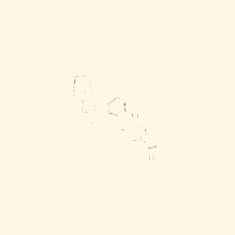 CO[C@@H]1CN(C(=O)O)C[C@H]1Oc1cccc(CS(=O)(=O)N(C)C2CC3CCC(C2)O3)c1